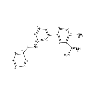 N=C(N)c1cc(-c2cncc(NCc3ccccc3)c2)ccc1N